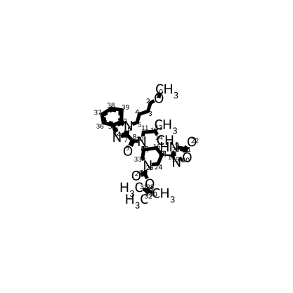 COCCCCn1c(C(=O)N(CC(C)C)[C@H]2C[C@@H](c3noc(=O)[nH]3)CN(C(=O)OC(C)(C)C)C2)nc2ccccc21